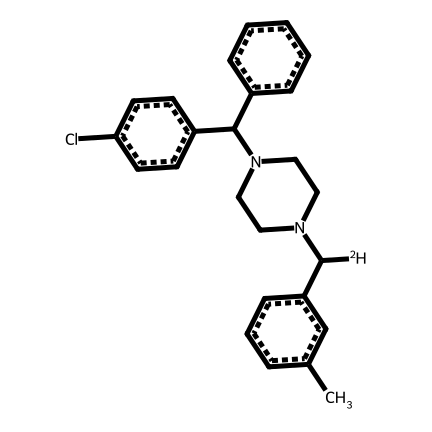 [2H]C(c1cccc(C)c1)N1CCN(C(c2ccccc2)c2ccc(Cl)cc2)CC1